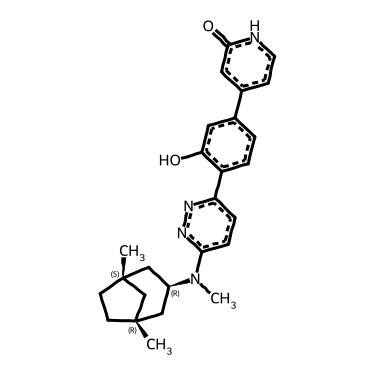 CN(c1ccc(-c2ccc(-c3cc[nH]c(=O)c3)cc2O)nn1)[C@H]1C[C@]2(C)CC[C@](C)(C1)C2